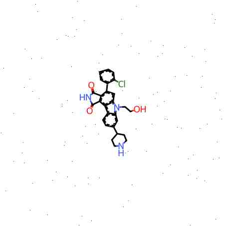 O=C1NC(=O)c2c1c(-c1ccccc1Cl)cc1c2c2ccc(C3CCNCC3)cc2n1CCO